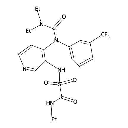 CCN(CC)C(=O)N(c1cccc(C(F)(F)F)c1)c1ccncc1NS(=O)(=O)C(=O)NC(C)C